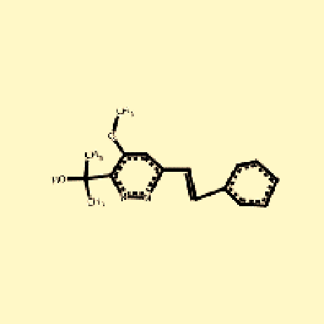 COc1cc(C=Cc2ccccc2)nnc1C(C)(C)O